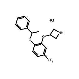 CC(Oc1ccc(C(F)(F)F)cc1OC1CNC1)c1ccccc1.Cl